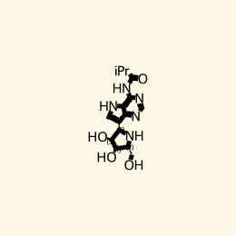 CC(C)C(=O)Nc1ncnc2c([C@@H]3N[C@H](CO)[C@@H](O)[C@H]3O)c[nH]c12